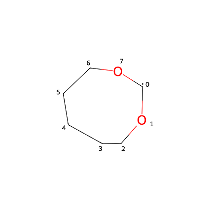 [CH]1OCCCCCO1